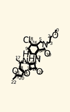 COCCN1Cc2c(Cl)ccc(Nc3c(N[C@H](C)c4ccc(C)o4)c(=O)c3=O)c2C1=O